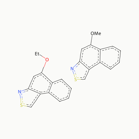 CCOc1cc2nscc2c2ccccc12.COc1cc2nscc2c2ccccc12